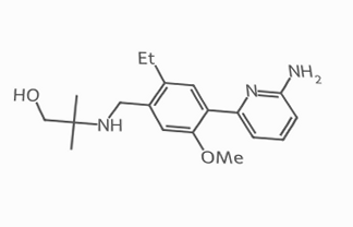 CCc1cc(-c2cccc(N)n2)c(OC)cc1CNC(C)(C)CO